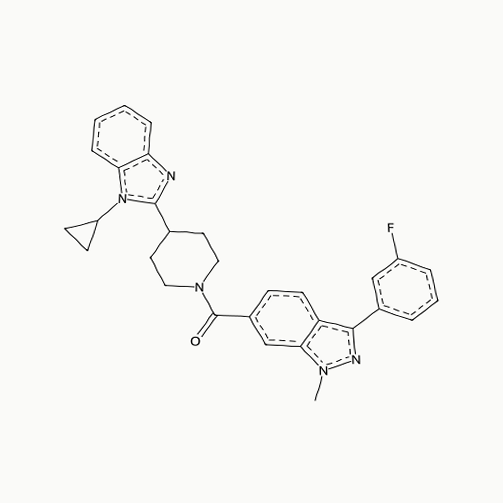 Cn1nc(-c2cccc(F)c2)c2ccc(C(=O)N3CCC(c4nc5ccccc5n4C4CC4)CC3)cc21